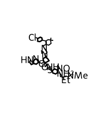 CCC(CCNC)CNc1ccc(SNC(=O)c2ccc(N3CCN(CC4=C(c5ccc(Cl)cc5)CC(C)(C)CC4)CC3)cc2Oc2cnc3[nH]ccc3c2)cc1[N+](=O)[O-]